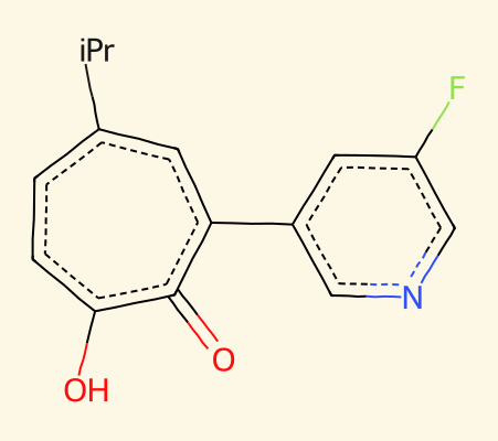 CC(C)c1ccc(O)c(=O)c(-c2cncc(F)c2)c1